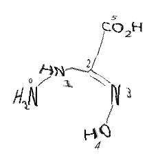 NNC(=NO)C(=O)O